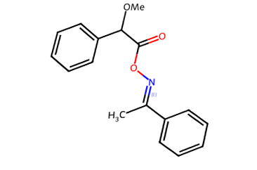 COC(C(=O)O/N=C(\C)c1ccccc1)c1ccccc1